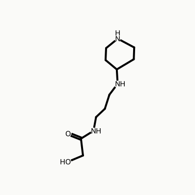 O=C(CO)NCCCNC1CCNCC1